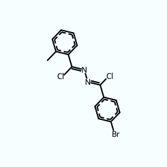 Cc1ccccc1C(Cl)=NN=C(Cl)c1ccc(Br)cc1